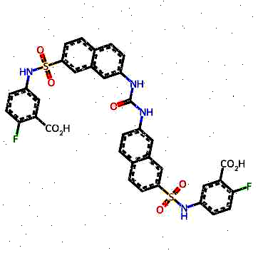 O=C(Nc1ccc2ccc(S(=O)(=O)Nc3ccc(F)c(C(=O)O)c3)cc2c1)Nc1ccc2ccc(S(=O)(=O)Nc3ccc(F)c(C(=O)O)c3)cc2c1